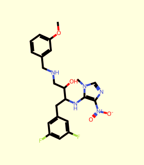 COc1cccc(CNCC(O)C(Cc2cc(F)cc(F)c2)Nc2c([N+](=O)[O-])ncn2C)c1